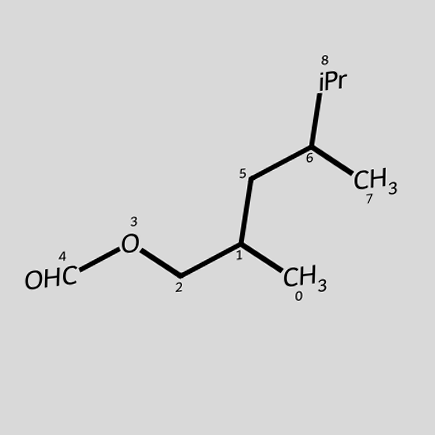 CC(COC=O)CC(C)C(C)C